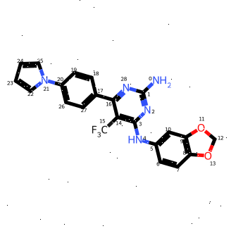 Nc1nc(Nc2ccc3c(c2)OCO3)c(C(F)(F)F)c(-c2ccc(-n3cccc3)cc2)n1